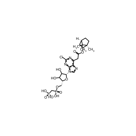 CC1(C)[C@@H]2CC[C@@]1(C)C(OC(=O)Cc1nc(Cl)nc3c1ncn3[C@@H]1O[C@H](COP(=O)(O)CP(=O)(O)O)C(O)C1O)C2